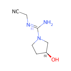 N#CC/N=C(\N)N1CC[C@H](O)C1